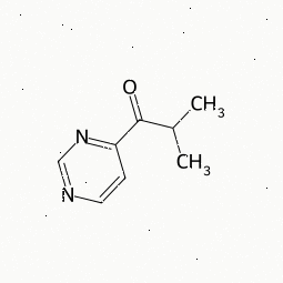 CC(C)C(=O)c1ccncn1